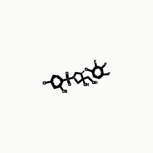 N#Cc1cc(Cl)ccc1S(=O)(=O)N1C[C@H](Oc2ccc(F)c(F)c2F)[C@](O)(CO)C1